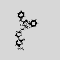 Nc1ccn([C@@H]2CO[C@H](COP(=O)(N[C@H](C=O)Cc3ccccc3)Oc3ccccc3)O2)c(=O)n1